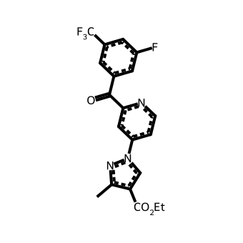 CCOC(=O)c1cn(-c2ccnc(C(=O)c3cc(F)cc(C(F)(F)F)c3)c2)nc1C